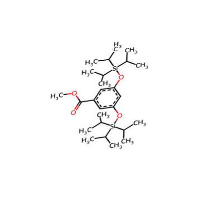 COC(=O)c1cc(O[Si](C(C)C)(C(C)C)C(C)C)cc(O[Si](C(C)C)(C(C)C)C(C)C)c1